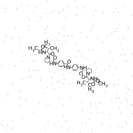 CCC(=O)N[C@H](C(=O)N1CCC[C@H]1C(=O)Nc1ccc(C(=O)Nc2ccc(NC(=O)[C@@H]3CCCN3C(=O)[C@@H](NC(=O)OC)C(C)C)cc2)cc1)C(C)C